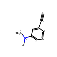 C#Cc1cccc(N(C)C(=O)OCC)c1